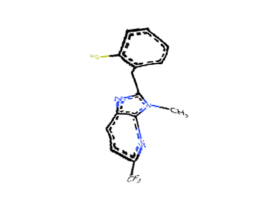 Cn1c(-c2ccccc2S)nc2ccc(C(F)(F)F)nc21